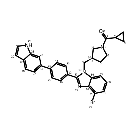 O=C(C1CC1)N1CC[C@@H](Cn2c(-c3ccc(-c4ccc5cc[nH]c5c4)cc3)nc3c(Br)cccc32)C1